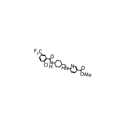 COC(=O)c1ccc(NCC2CCC(NC(=O)c3cc(C(F)(F)F)ccc3Cl)CC2)nc1